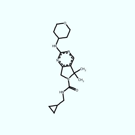 CC1(C)c2cnc(NC3CCOCC3)nc2CN1C(=O)NCC1CC1